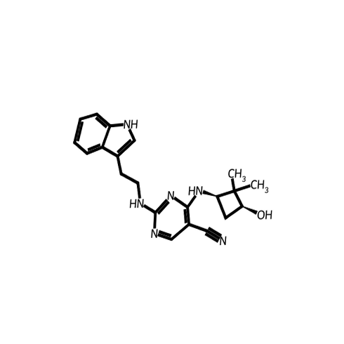 CC1(C)[C@@H](O)C[C@H]1Nc1nc(NCCc2c[nH]c3ccccc23)ncc1C#N